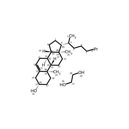 CC(C)CCCC(C)[C@H]1CC[C@H]2[C@@H]3CC=C4C[C@@H](O)CC[C@]4(C)[C@H]3CC[C@]12C.OCCO